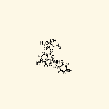 CC(C)(C)C(=O)OCOP(=O)(NCc1ccc(F)cc1F)C1CCCN(O)C1=O